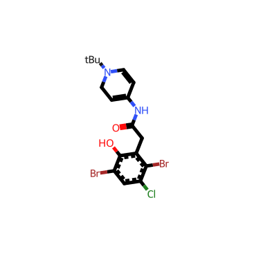 CC(C)(C)N1C=CC(NC(=O)Cc2c(O)c(Br)cc(Cl)c2Br)=CC1